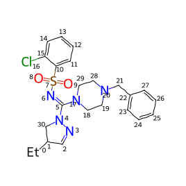 CCC1C=NN(/C(=N/S(=O)(=O)c2ccccc2Cl)N2CCN(Cc3ccccc3)CC2)C1